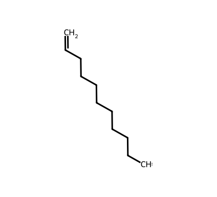 [CH]CCCCCCCCC=C